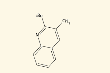 CCC(C)c1nc2ccccc2cc1C